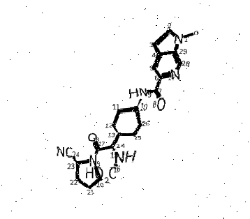 Cn1ccc2cc(C(=O)N[C@H]3CC[C@H]([C@H](NC(=O)O)C(=O)N4CCC[C@H]4C#N)CC3)ncc21